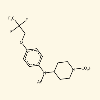 CC(=O)N(c1ccc(OCC(F)(F)C(F)(F)F)cc1)C1CCN(C(=O)O)CC1